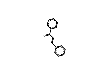 O=C(C=Cc1cc[c]cc1)c1ccccc1